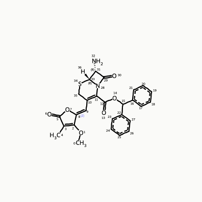 COC1=C(C)C(=O)O/C1=C\C1=C(C(=O)OC(c2ccccc2)c2ccccc2)N2C(=O)[C@@H](N)[C@H]2SC1